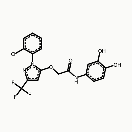 O=C(COc1cc(C(F)(F)F)nn1-c1ccccc1Cl)Nc1ccc(O)c(O)c1